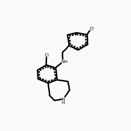 Clc1ccc(CNc2c(Cl)ccc3c2CCNCC3)cc1